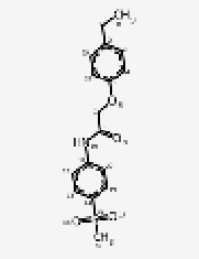 CCc1ccc(OCC(=O)Nc2ccc(S(C)(=O)=O)cc2)cc1